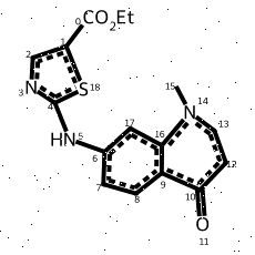 CCOC(=O)c1cnc(Nc2ccc3c(=O)ccn(C)c3c2)s1